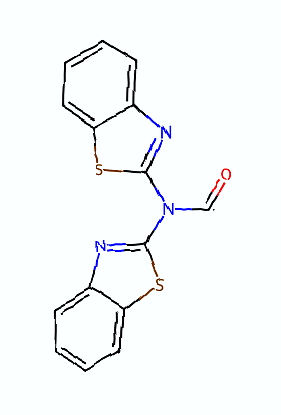 O=[C]N(c1nc2ccccc2s1)c1nc2ccccc2s1